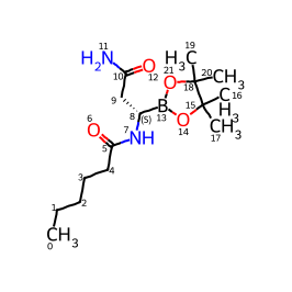 CCCCCC(=O)N[C@H](CC(N)=O)B1OC(C)(C)C(C)(C)O1